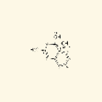 CC1=Cc2ccccc2C(C)(O)C1